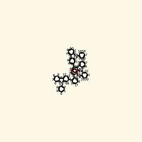 c1ccc(-n2c3ccccc3c3ccc(-c4cccc5c4c4ccccc4n5-c4ccccc4-n4c5ccccc5c5c(-c6ccc7c8ccccc8n(-c8ccccc8)c7c6)cccc54)cc32)cc1